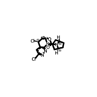 CC(C)(C)OC(=O)N1[C@H]2CC[C@H]1CC(N1CC[C@H](Cl)c3cc(Cl)nnc31)C2